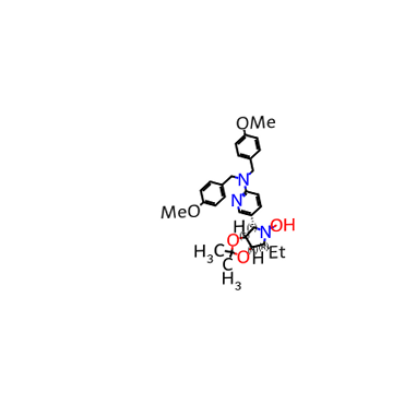 CC[C@@H]1[C@H]2OC(C)(C)O[C@H]2[C@H](c2ccc(N(Cc3ccc(OC)cc3)Cc3ccc(OC)cc3)nc2)N1O